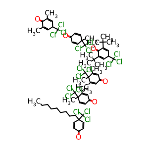 CC(C)(C)C1=CC(C(Cl)(Cl)Cl)C=C(C(C)(C)C)C1=O.CC1(C(Cl)(Cl)Cl)C=CC(=O)C=C1.CC1=CC(=O)C=C(C)C1(C)C(Cl)(Cl)Cl.CC1=CC(=O)C=CC1(C)C(Cl)(Cl)Cl.CC1=CC(C(Cl)(Cl)Cl)C=C(C)C1=O.CCCCCCCCCC1(C(Cl)(Cl)Cl)C=CC(=O)C=C1